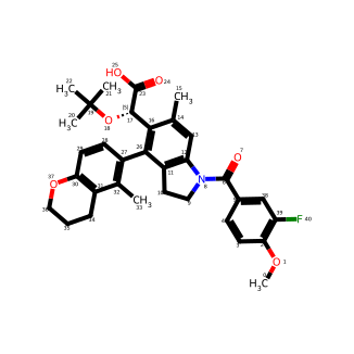 COc1ccc(C(=O)N2CCc3c2cc(C)c([C@H](OC(C)(C)C)C(=O)O)c3-c2ccc3c(c2C)CCCO3)cc1F